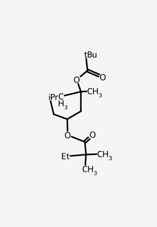 CCC(C)(C)C(=O)OC(CC(C)C)CC(C)(C)OC(=O)C(C)(C)C